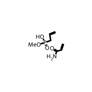 C=CC(N)=O.C=CCP(=O)(O)OC